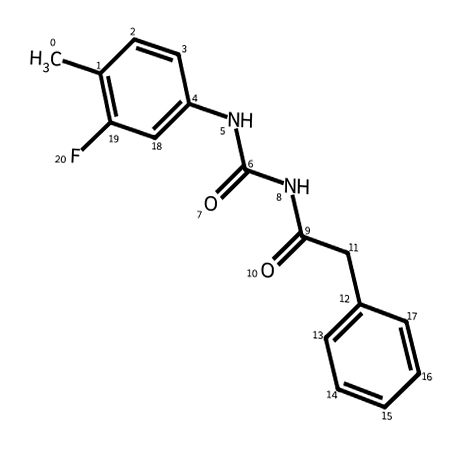 Cc1ccc(NC(=O)NC(=O)Cc2ccccc2)cc1F